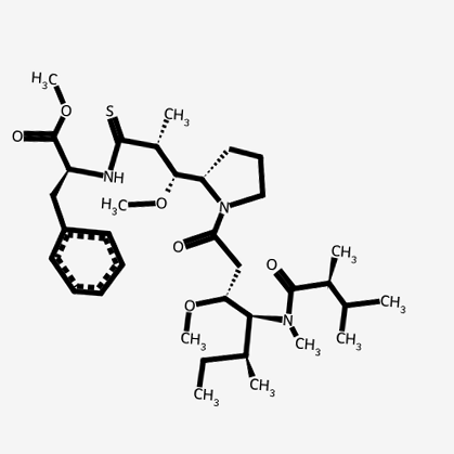 CC[C@H](C)[C@@H]([C@@H](CC(=O)N1CCC[C@H]1[C@H](OC)[C@@H](C)C(=S)N[C@@H](Cc1ccccc1)C(=O)OC)OC)N(C)C(=O)[C@@H](C)C(C)C